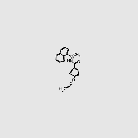 C=CCOc1ccc(C(=O)N[C@@H](C)c2cccc3ccccc23)cc1